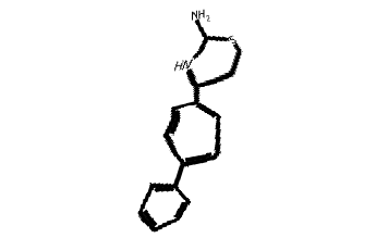 NC1NC(c2ccc(-c3ccccc3)cc2)CS1